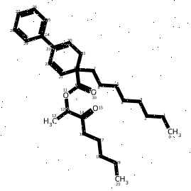 CCCCCCCCC1(C(=O)OC(C)C(=O)CCCCC)C=CC(c2ccccc2)=CC1